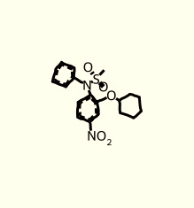 CS(=O)(=O)N(c1ccccc1)c1ccc([N+](=O)[O-])cc1OC1CCCCC1